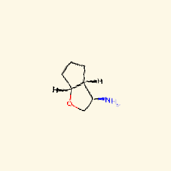 N[C@H]1CO[C@@H]2CCC[C@H]12